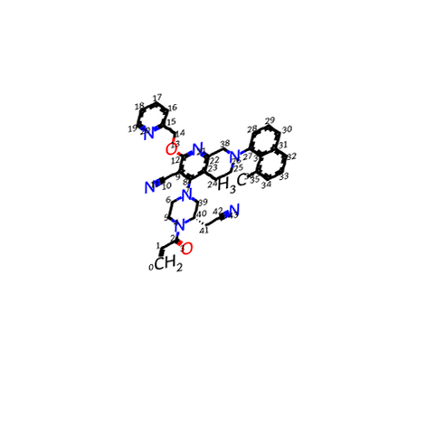 C=CC(=O)N1CCN(c2c(C#N)c(OCc3ccccn3)nc3c2CCN(c2cccc4cccc(C)c24)C3)C[C@@H]1CC#N